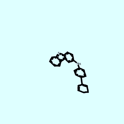 C1=CC(c2ccc(Nc3ccc4sc5ccccc5c4c3)cc2)=CCC1